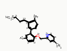 CCCc1ccc(-c2cc(C(C)=O)ccc2OCc2cc(C)ccn2)cc1CCCC(=O)O